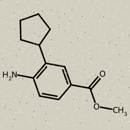 COC(=O)c1ccc(N)c(C2CCCC2)c1